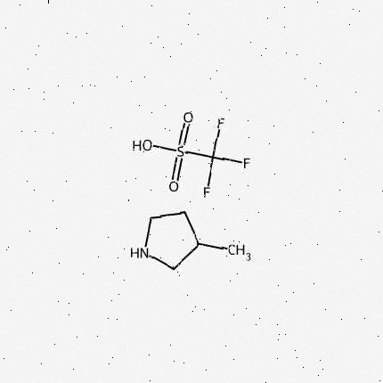 CC1CCNC1.O=S(=O)(O)C(F)(F)F